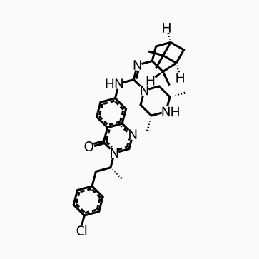 C[C@@H]1CN(/C(=N\C2C[C@H]3C[C@@H]([C@@H]2C)C3(C)C)Nc2ccc3c(=O)n([C@H](C)Cc4ccc(Cl)cc4)cnc3c2)C[C@H](C)N1